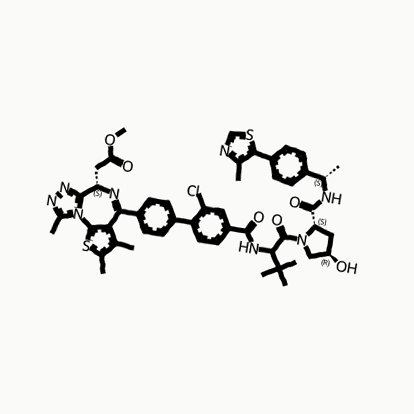 COC(=O)C[C@@H]1N=C(c2ccc(-c3ccc(C(=O)NC(C(=O)N4C[C@H](O)C[C@H]4C(=O)N[C@@H](C)c4ccc(-c5scnc5C)cc4)C(C)(C)C)cc3Cl)cc2)c2c(sc(C)c2C)-n2c(C)nnc21